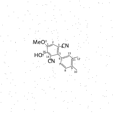 COc1cc(C#N)c(-c2ccc(C)c(C)c2)c(C#N)c1O